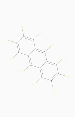 Brc1c(Br)c(Br)c2c(Br)c3c(Br)c(Br)c(Br)c(Br)c3c(Br)c2c1Br